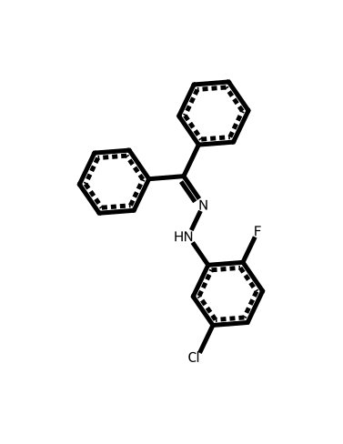 Fc1ccc(Cl)cc1NN=C(c1ccccc1)c1ccccc1